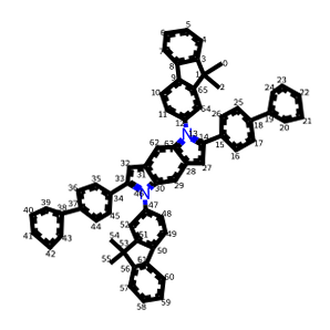 CC1(C)c2ccccc2-c2ccc(-n3c(-c4ccc(-c5ccccc5)cc4)cc4cc5c(cc(-c6ccc(-c7ccccc7)cc6)n5-c5ccc6c(c5)C(C)(C)c5ccccc5-6)cc43)cc21